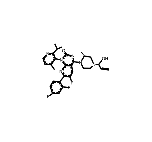 C=CC(O)N1CCN(c2nc(=O)n(-c3c(C)ccnc3C(C)C)c3nc(-c4ccc(F)cc4F)c(F)cc23)[C@@H](C)C1